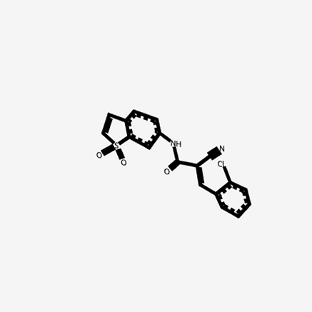 N#CC(=Cc1ccccc1Cl)C(=O)Nc1ccc2c(c1)S(=O)(=O)C=C2